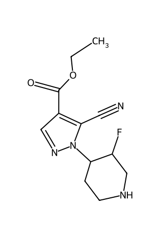 CCOC(=O)c1cnn(C2CCNCC2F)c1C#N